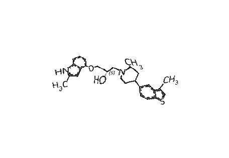 Cc1cc2c(OC[C@@H](O)CN3CCC(c4ccc5scc(C)c5c4)CC3C)cccc2[nH]1